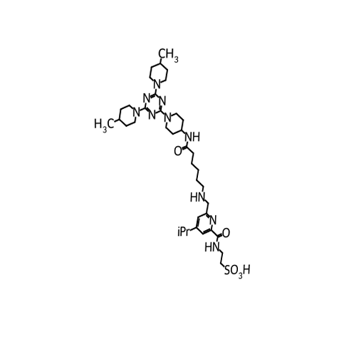 CC1CCN(c2nc(N3CCC(C)CC3)nc(N3CCC(NC(=O)CCCCCNCc4cc(C(C)C)cc(C(=O)NCCS(=O)(=O)O)n4)CC3)n2)CC1